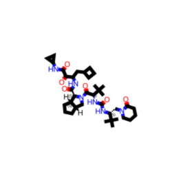 CC(C)(C)[C@H](NC(=O)N[C@H](CN1CCCCC1=O)C(C)(C)C)C(=O)N1C[C@@H]2CCC[C@@H]2[C@H]1C(=O)NC(CC1CCC1)C(=O)C(=O)NC1CC1